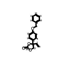 C=CC1(c2ccc(OCc3ccccc3)cc2)COC(=O)O1